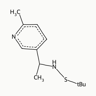 Cc1ccc(C(C)NSC(C)(C)C)cn1